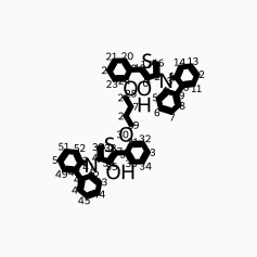 Oc1c(-n2c3ccccc3c3ccccc32)csc1-c1ccccc1OCCCCOc1ccccc1-c1scc(-n2c3ccccc3c3ccccc32)c1O